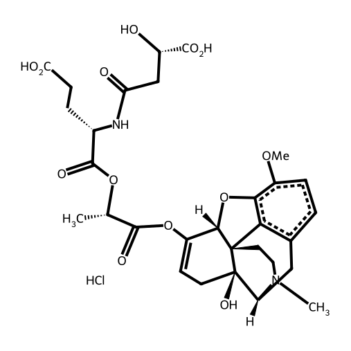 COc1ccc2c3c1O[C@H]1C(OC(=O)[C@H](C)OC(=O)[C@H](CCC(=O)O)NC(=O)C[C@H](O)C(=O)O)=CC[C@@]4(O)[C@@H](C2)N(C)CC[C@]314.Cl